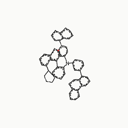 c1cc(-c2cccc3c2ccc2ccccc23)cc(N(c2ccc(-c3cccc4ccccc34)cc2)c2ccccc2-c2cccc3cccc(C4CCCCC4)c23)c1